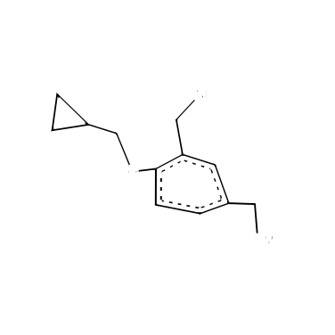 COCc1ccc(OCC2CC2)c(CN)c1